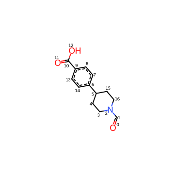 O=CN1CCC(c2ccc(C(=O)O)cc2)CC1